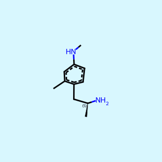 CNc1ccc(C[C@H](C)N)c(C)c1